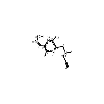 C#CCN(C)Cc1nc(C)c(/C=N\O)nc1C